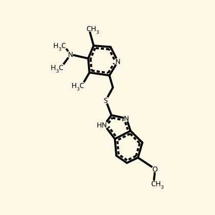 COc1ccc2[nH]c(SCc3ncc(C)c(N(C)C)c3C)nc2c1